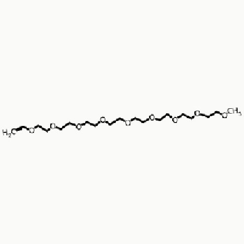 C=COCCOCCOCCOCCOCCOCCOCCOCCOC